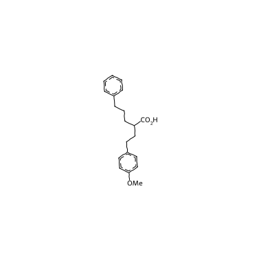 COc1ccc(CCC(CCCc2ccccc2)C(=O)O)cc1